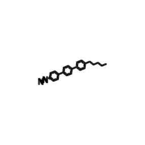 CCCCCc1ccc(-c2ccc(-c3ccc([N+]#N)cc3)cc2)cc1